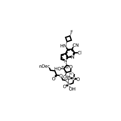 CCCCCCCCCCCCC(=O)OCOP(=O)(O)CS(=O)(=O)C[C@H]1O[C@@H](n2ccc3c(N[C@H]4C[C@@H](F)C4)c(C#N)c(Cl)nc32)[C@H](O)[C@@H]1O